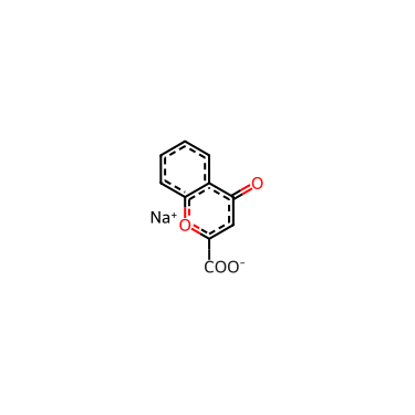 O=C([O-])c1cc(=O)c2ccccc2o1.[Na+]